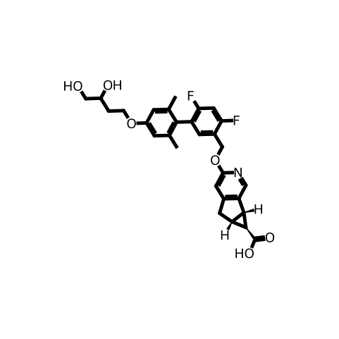 Cc1cc(OCCC(O)CO)cc(C)c1-c1cc(COc2cc3c(cn2)[C@H]2[C@@H](C3)[C@@H]2C(=O)O)c(F)cc1F